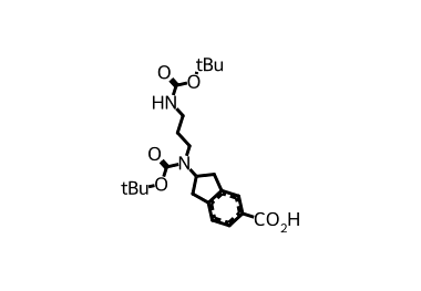 CC(C)(C)OC(=O)NCCCN(C(=O)OC(C)(C)C)C1Cc2ccc(C(=O)O)cc2C1